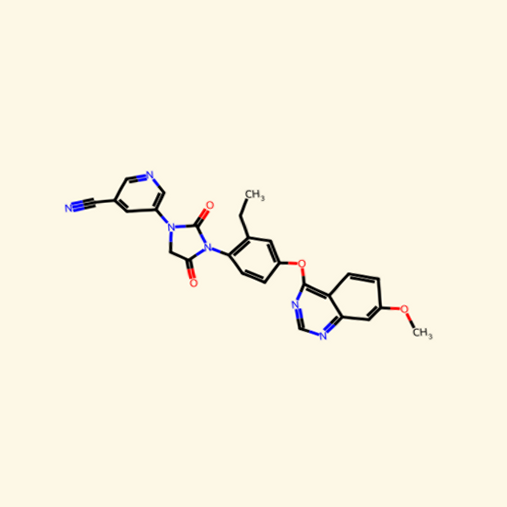 CCc1cc(Oc2ncnc3cc(OC)ccc23)ccc1N1C(=O)CN(c2cncc(C#N)c2)C1=O